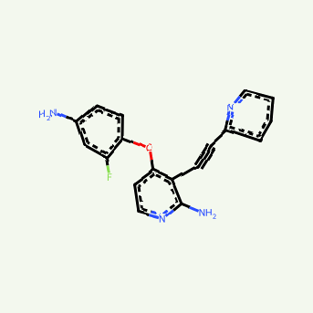 Nc1ccc(Oc2ccnc(N)c2C#Cc2ccccn2)c(F)c1